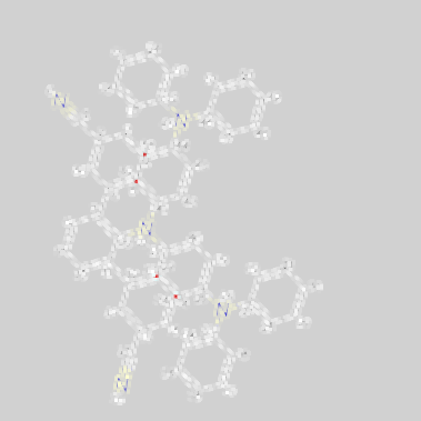 N#Cc1cccc(-c2cccc(-c3cccc(C#N)c3)c2N(c2ccc(N(c3ccccc3)c3ccccc3)cc2)c2ccc(N(c3ccccc3)c3ccccc3)cc2)c1